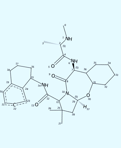 CN[C@@H](C)C(=O)N[C@@H]1C(=O)N2C(C(=O)NC3CCCc4ccccc43)C(C)(C)C[C@@H]2OC2CCCCC21